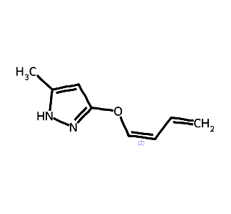 C=C/C=C\Oc1cc(C)[nH]n1